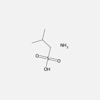 CC(C)CS(=O)(=O)O.N